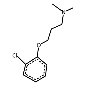 CN(C)CCCOc1c[c]ccc1Cl